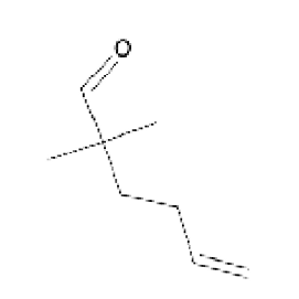 C=CCCC(C)(C)C=O